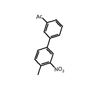 CC(=O)c1cccc(-c2ccc(C)c([N+](=O)[O-])c2)c1